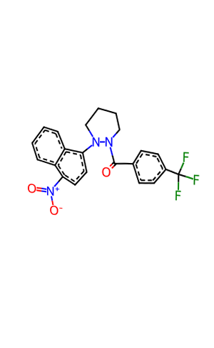 O=C(c1ccc(C(F)(F)F)cc1)N1CCCCN1c1ccc([N+](=O)[O-])c2ccccc12